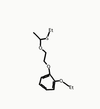 CCOc1ccccc1OCCOC(C)SCC